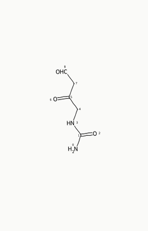 NC(=O)NCC(=O)CC=O